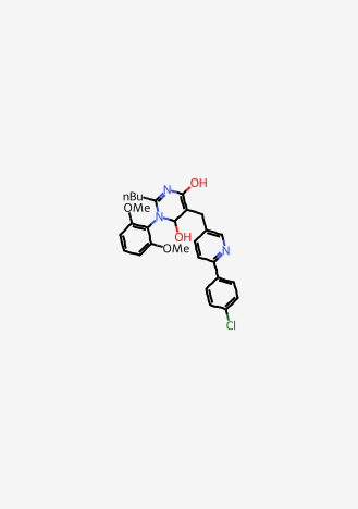 CCCCC1=NC(O)=C(Cc2ccc(-c3ccc(Cl)cc3)nc2)C(O)N1c1c(OC)cccc1OC